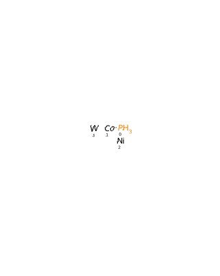 P.[Co].[Ni].[W]